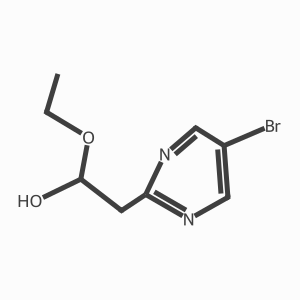 CCOC(O)Cc1ncc(Br)cn1